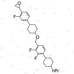 CCCC1CCC(c2ccc(COC3CCC(c4ccc(C5CO5)c(F)c4)CC3)c(F)c2F)CC1